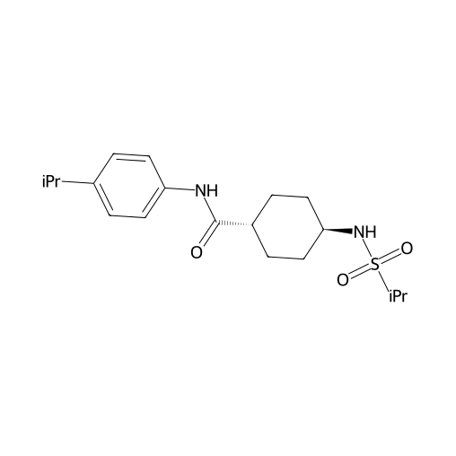 CC(C)c1ccc(NC(=O)[C@H]2CC[C@H](NS(=O)(=O)C(C)C)CC2)cc1